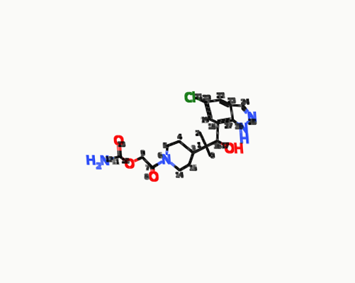 CC(C)(C1CCN(C(=O)COC(N)=O)CC1)C(O)c1cc(Cl)cc2cn[nH]c12